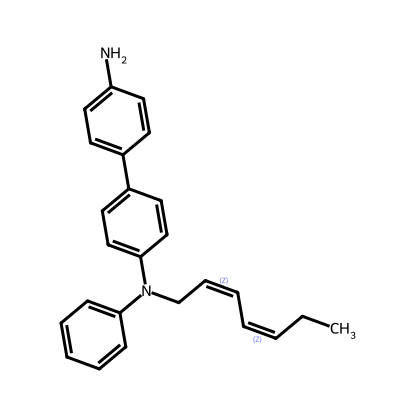 CC/C=C\C=C/CN(c1ccccc1)c1ccc(-c2ccc(N)cc2)cc1